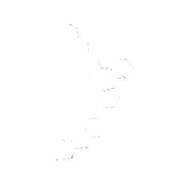 CC(C)C[C@@H](NC(=O)O)C(=O)N1CCN(c2ccc(-c3cccn4nc(OCC[C@@H](C)O)c(C#N)c34)cn2)CC1